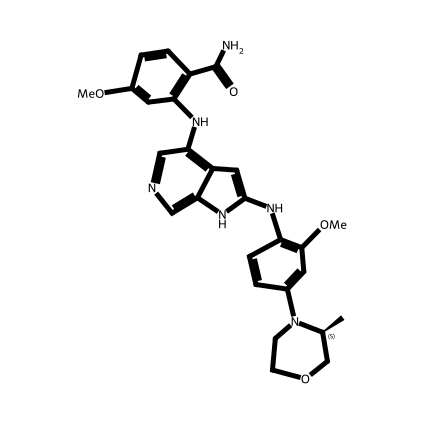 COc1ccc(C(N)=O)c(Nc2cncc3[nH]c(Nc4ccc(N5CCOC[C@@H]5C)cc4OC)cc23)c1